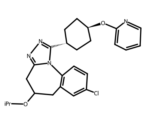 CC(C)OC1Cc2cc(Cl)ccc2-n2c(nnc2[C@H]2CC[C@H](Oc3ccccn3)CC2)C1